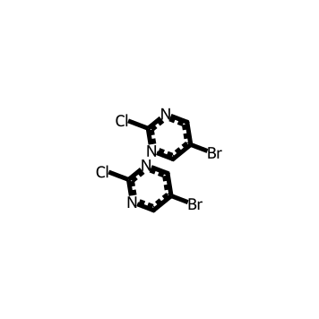 Clc1ncc(Br)cn1.Clc1ncc(Br)cn1